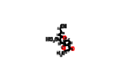 Cc1cc(=O)c2cccc(C=C(C(=O)O)C(=O)CCCC#N)c2o1